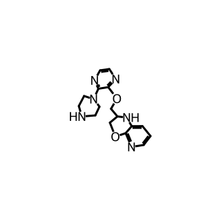 c1cnc2c(c1)NC(COc1nccnc1N1CCNCC1)CO2